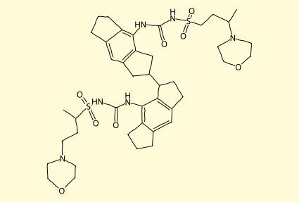 CC(CCS(=O)(=O)NC(=O)Nc1c2c(cc3c1CC(C1CCc4cc5c(c(NC(=O)NS(=O)(=O)C(C)CCN6CCOCC6)c41)CCC5)C3)CCC2)N1CCOCC1